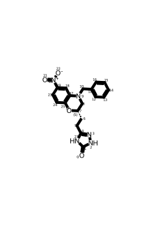 O=c1[nH]nc(CC[C@H]2CN(Cc3ccccc3)c3cc([N+](=O)[O-])ccc3O2)[nH]1